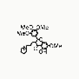 COc1cc(O)c2c(c1)OC(c1cc(OC)c(OC)c(OC)c1)C(CCCN1CCCC1)C2=O